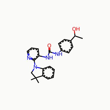 CC(O)c1ccc(NC(=O)Nc2cccnc2N2CC(C)(C)c3ccccc32)cc1